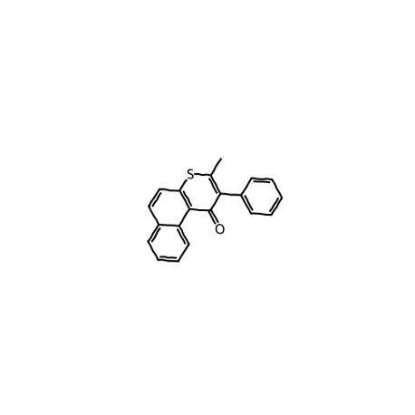 Cc1sc2ccc3ccccc3c2c(=O)c1-c1ccccc1